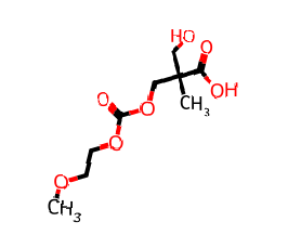 COCCOC(=O)OCC(C)(CO)C(=O)O